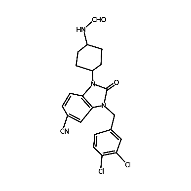 N#Cc1ccc2c(c1)n(Cc1ccc(Cl)c(Cl)c1)c(=O)n2C1CCC(NC=O)CC1